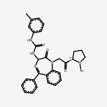 CC(=O)N1CCC[C@@H]1C(=O)CN1C(=O)C(NC(=O)Nc2cccc(C)c2)N=C(c2ccccc2)c2ccccc21